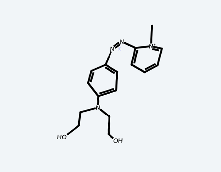 C[n+]1ccccc1/N=N\c1ccc(N(CCO)CCO)cc1